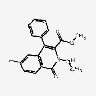 CNn1c(C(=O)OC)c(-c2ccccc2)c2cc(F)ccc2c1=O